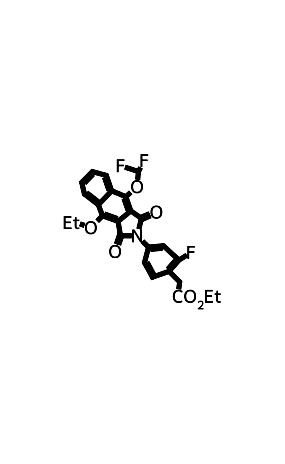 CCOC(=O)Cc1ccc(N2C(=O)c3c(c(OC(F)F)c4ccccc4c3OCC)C2=O)cc1F